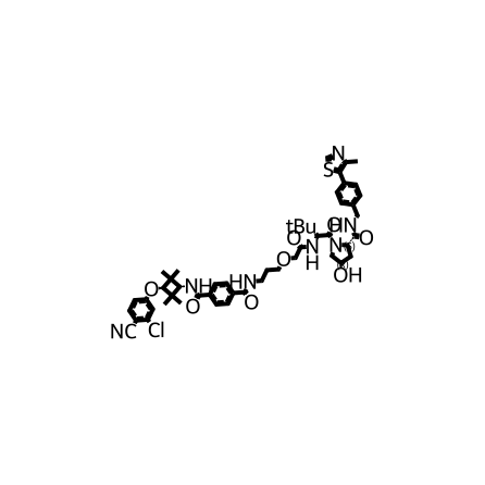 Cc1ncsc1-c1ccc(CNC(=O)[C@@H]2C[C@@H](O)CN2C(=O)C(NC(=O)COCCCNC(=O)c2ccc(C(=O)N[C@H]3C(C)(C)[C@H](Oc4ccc(C#N)c(Cl)c4)C3(C)C)cc2)C(C)(C)C)cc1